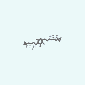 Cc1cc(CCCCCCC2(C(=O)O)CC2)c(C)c(C)c1CCCCC1(C(=O)O)CC1